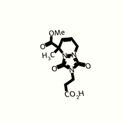 COC(=O)C1(C)C=CCn2c(=O)n(CCC(=O)O)c(=O)n21